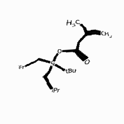 C=C(C)C(=O)O[Si](CC(C)C)(CC(C)C)C(C)(C)C